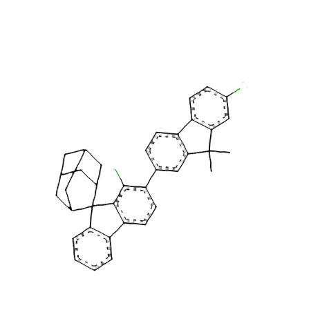 CC1(C)c2cc(Br)ccc2-c2ccc(-c3ccc4c(c3Cl)C3(c5ccccc5-4)C4CC5CC(C4)CC3C5)cc21